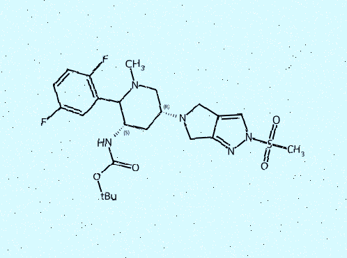 CN1C[C@H](N2Cc3cn(S(C)(=O)=O)nc3C2)C[C@H](NC(=O)OC(C)(C)C)C1c1cc(F)ccc1F